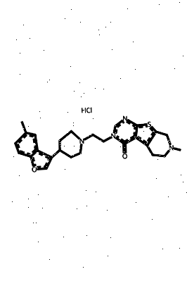 Cc1ccc2occ(C3CCN(CCn4cnc5sc6c(c5c4=O)CCN(C)C6)CC3)c2c1.Cl